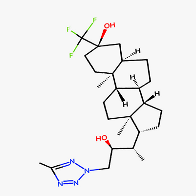 Cc1nnn(C[C@@H](O)[C@@H](C)[C@H]2CC[C@H]3[C@@H]4CC[C@@H]5C[C@@](O)(C(F)(F)F)CC[C@]5(C)[C@H]4CC[C@]23C)n1